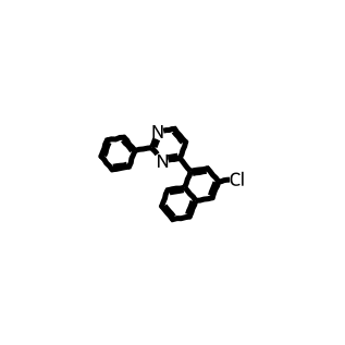 Clc1cc(-c2ccnc(-c3ccccc3)n2)c2ccccc2c1